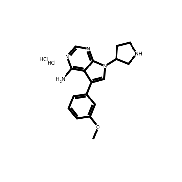 COc1cccc(-c2cn(C3CCNC3)c3ncnc(N)c23)c1.Cl.Cl